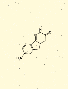 Nc1ccc2c(c1)CC1CC(=O)NN=C21